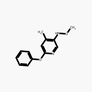 CONc1cnc(Oc2ccccc2)cc1C